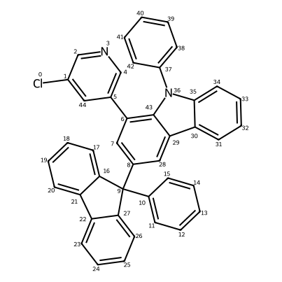 Clc1cncc(-c2cc(C3(c4ccccc4)c4ccccc4-c4ccccc43)cc3c4ccccc4n(-c4ccccc4)c23)c1